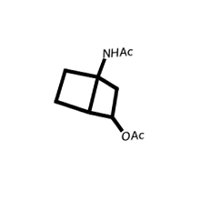 CC(=O)NC12CCC1C(OC(C)=O)C2